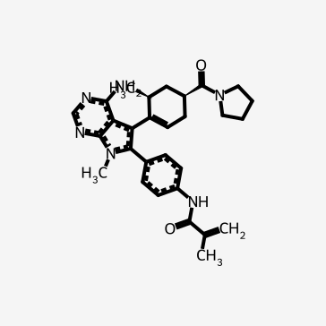 C=C(C)C(=O)Nc1ccc(-c2c(C3=CC[C@H](C(=O)N4CCCC4)C[C@@H]3C)c3c(N)ncnc3n2C)cc1